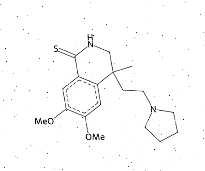 COc1cc2c(cc1OC)C(C)(CCN1CCCC1)CNC2=S